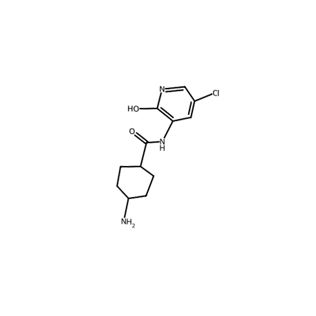 NC1CCC(C(=O)Nc2cc(Cl)cnc2O)CC1